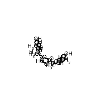 C[C@H](CCC(=O)OCCOC(=O)CC[C@@H](C)[C@H]1CC[C@H]2[C@@H]3CC[C@@H]4C[C@H](O)CC[C@]4(C)[C@H]3CC[C@]12C)[C@H]1CC[C@H]2[C@@H]3CC[C@@H]4C[C@H](O)CC[C@]4(C)[C@H]3CC[C@]12C.OCCO